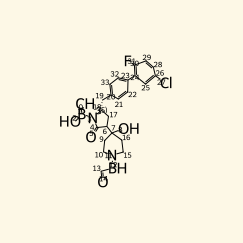 CB(O)N1C(=O)C(C2(O)CCN(BC=O)CC2)C[C@H]1Cc1ccc(-c2cc(Cl)ccc2F)cc1